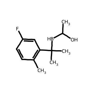 Cc1ccc(F)cc1C(C)(C)BC(C)O